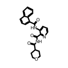 O=C(NC(=O)C1CCOCC1)c1ncccc1NC(=O)c1cccc2ccccc12